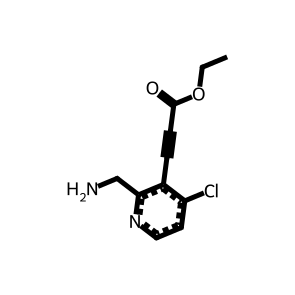 CCOC(=O)C#Cc1c(Cl)ccnc1CN